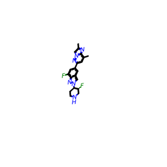 Cc1cn2nc(-c3cc(F)c4nn(C5CCNC[C@@H]5F)cc4c3)cc(C)c2n1